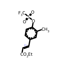 CCOC(=O)/C=C/c1ccc(OS(=O)(=O)C(F)(F)F)c(C)c1